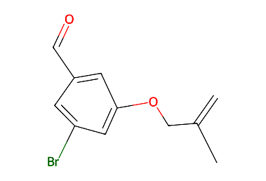 C=C(C)COc1cc(Br)cc(C=O)c1